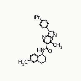 Cc1ccc2c(c1)CCCC2NC(=O)c1cnc2c(-c3ccc(C(C)C)cc3)cnn2c1C